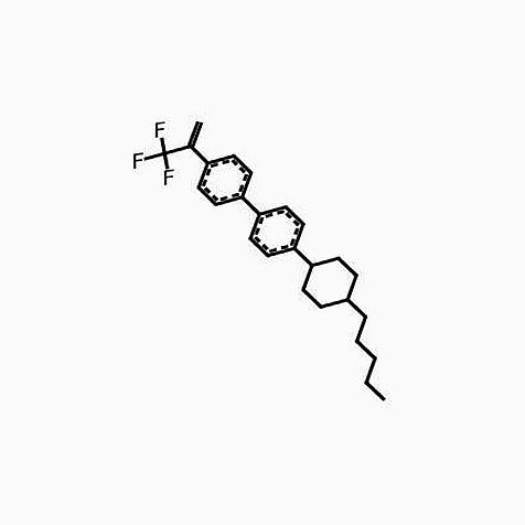 C=C(c1ccc(-c2ccc(C3CCC(CCCCC)CC3)cc2)cc1)C(F)(F)F